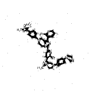 Cc1nc(-c2ccc(N3CCn4c(-c5ccc(-c6nc(C)n7c6CN(c6ccc(-n8ccnc8)cc6)CC7)c(C(C)C)n5)nc(-c5cccnc5C(C)C)c4C3)cc2)cn1C